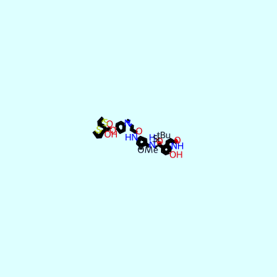 COc1cc(NC(=O)CCN(C)C2CCC(OC(=O)C(O)(c3cccs3)c3cccs3)CC2)ccc1CNC[C@@H](O[Si](C)(C)C(C)(C)C)c1ccc(O)c2[nH]c(=O)ccc12